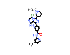 Nc1ncc(Cl)n2c(C3CCCN(C(=O)O)C3)nc(-c3ccc(C(=O)Nc4cc(C(F)(F)F)ccn4)cc3)c12